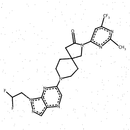 Cc1nc(N2CC3(CCN(c4cnc5cnn(CC(F)F)c5n4)CC3)CC2=O)cc(C(F)(F)F)n1